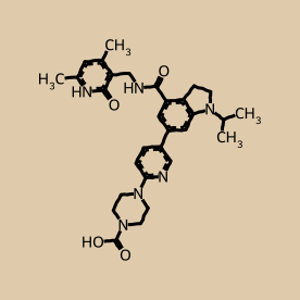 Cc1cc(C)c(CNC(=O)c2cc(-c3ccc(N4CCN(C(=O)O)CC4)nc3)cc3c2CCN3C(C)C)c(=O)[nH]1